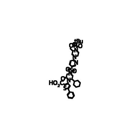 CC(C)(C)OC(=O)N1CCN(c2ccc(S(=O)(=O)N3CC(=O)N(c4cc(-c5ccccc5)sc4C(=O)O)C(C4CCCCC4)C3)cn2)CC1CO